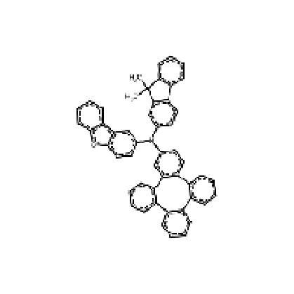 CC1(C)c2ccccc2-c2ccc(N(c3ccc4c(c3)-c3ccccc3-c3ccccc3-c3ccccc3-4)c3ccc4oc5ccccc5c4c3)cc21